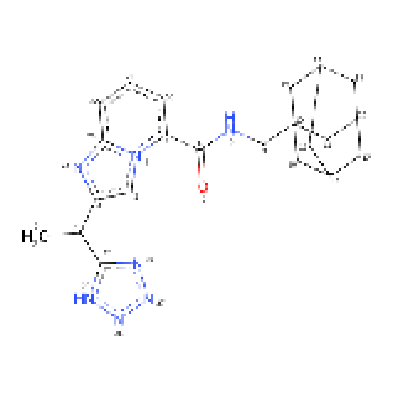 CC(c1cn2c(C(=O)NCC34CC5CC(CC(C5)C3)C4)cccc2n1)c1nnn[nH]1